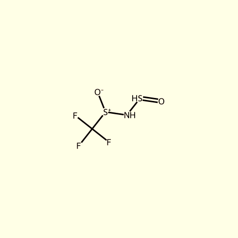 O=[SH]N[S+]([O-])C(F)(F)F